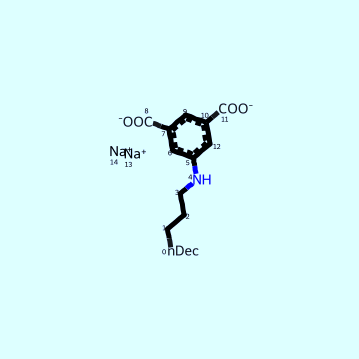 CCCCCCCCCCCCCNc1cc(C(=O)[O-])cc(C(=O)[O-])c1.[Na+].[Na+]